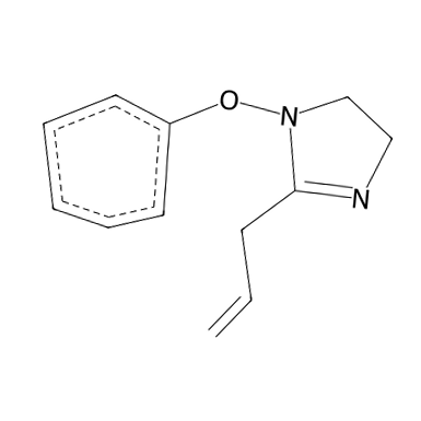 C=CCC1=NCCN1Oc1ccccc1